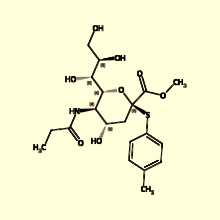 CCC(=O)N[C@H]1[C@H]([C@H](O)[C@H](O)CO)O[C@](Sc2ccc(C)cc2)(C(=O)OC)C[C@@H]1O